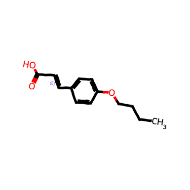 CCCCOc1ccc(/C=C/C(=O)O)cc1